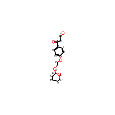 O=CCC(=O)c1ccc(OCCOC2CCCCO2)cc1